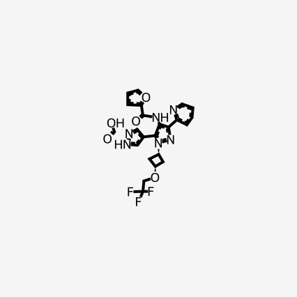 O=C(Nc1c(-c2ccccn2)nn([C@H]2C[C@@H](OCC(F)(F)F)C2)c1-c1cn[nH]c1)c1ccco1.O=CO